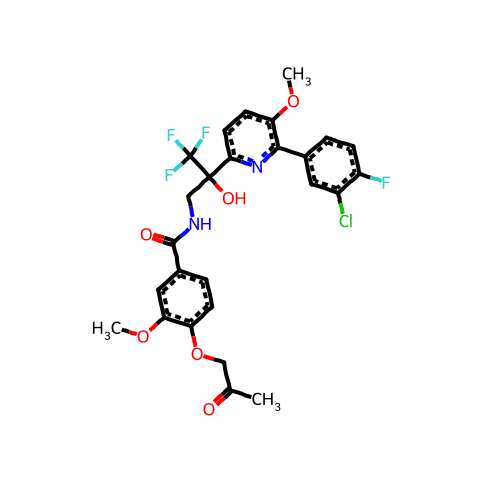 COc1cc(C(=O)NCC(O)(c2ccc(OC)c(-c3ccc(F)c(Cl)c3)n2)C(F)(F)F)ccc1OCC(C)=O